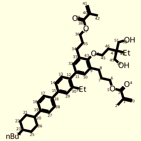 C=C(C)C(=O)OCCCc1cc(-c2ccc(-c3ccc(C4CCC(CCCC)CC4)cc3)cc2CC)cc(CCCOC(=O)C(=C)C)c1OCCC(CC)(CO)CO